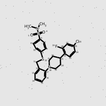 CN(C)S(=O)(=O)c1ccc(SCc2ccccc2N2CCC(c3ccc(Cl)cc3F)CC2)cc1